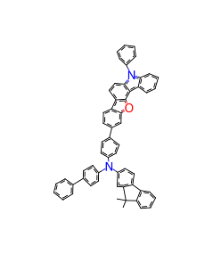 CC1(C)c2ccccc2-c2ccc(N(c3ccc(-c4ccccc4)cc3)c3ccc(-c4ccc5c(c4)oc4c5ccc5c4c4ccccc4n5-c4ccccc4)cc3)cc21